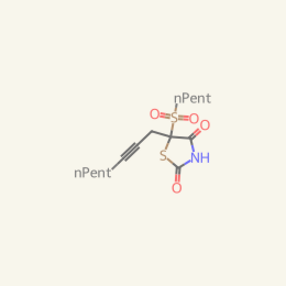 CCCCCC#CCC1(S(=O)(=O)CCCCC)SC(=O)NC1=O